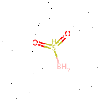 B[SH](=O)=O